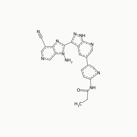 CCC(=O)Nc1ccc(-c2cnc3[nH]nc(-c4nc5c(C#N)cncc5n4N)c3c2)cn1